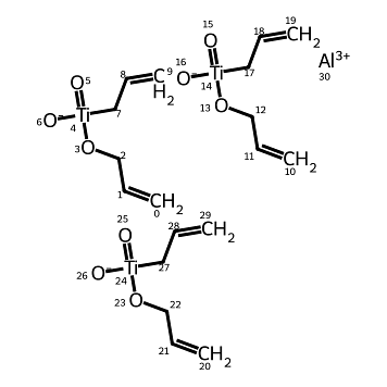 C=CC[O][Ti](=[O])([O-])[CH2]C=C.C=CC[O][Ti](=[O])([O-])[CH2]C=C.C=CC[O][Ti](=[O])([O-])[CH2]C=C.[Al+3]